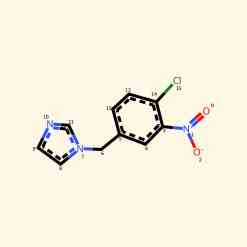 O=[N+]([O-])c1cc(Cn2ccnc2)ccc1Cl